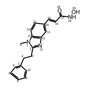 Cn1c(CCc2ccccc2)nc2cc(C=CC(=O)NO)ccc21